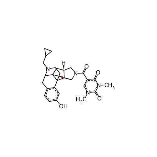 Cn1cc(C(=O)N2C[C@H]3CC45CCC2C3C42CCN(CC3CC3)C5Cc3ccc(O)cc32)c(=O)n(C)c1=O